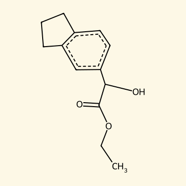 CCOC(=O)C(O)c1ccc2c(c1)CCC2